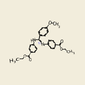 CCOC(=O)c1ccc(/N=C(/Nc2ccc(C(=O)OCC)cc2)c2ccc(OC)cc2)cc1